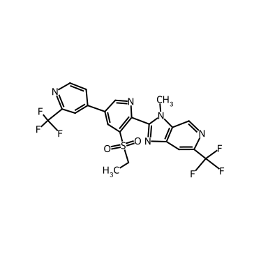 CCS(=O)(=O)c1cc(-c2ccnc(C(F)(F)F)c2)cnc1-c1nc2cc(C(F)(F)F)ncc2n1C